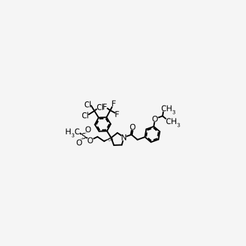 CC(C)Oc1cccc(CC(=O)N2CC[C@](CCOS(C)(=O)=O)(c3ccc(C(Cl)(Cl)Cl)c(C(F)(F)F)c3)C2)c1